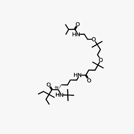 CCC(C)(CC)C(=O)[C@H](CCCCNC(=O)CCC(C)(C)OCCC(C)(C)OCCNC(=O)C(C)C)NC(C)(C)C